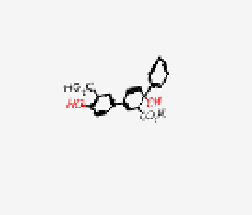 O=C(O)c1cc(C2=CC(C(=O)O)C(O)(c3ccccc3)C=C2)ccc1O